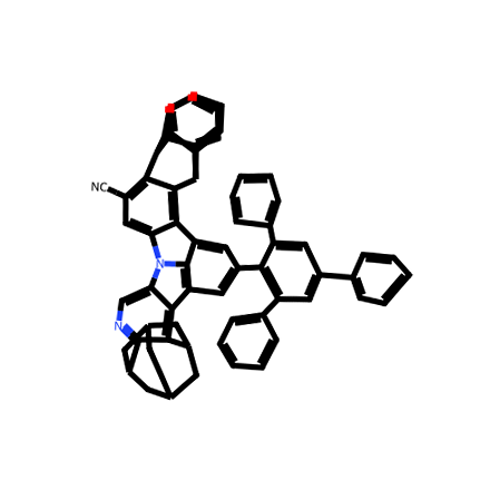 N#Cc1cc2c(c3c1C1c4ccccc4C3c3ccccc31)c1cc(-c3c(-c4ccccc4)cc(-c4ccccc4)cc3-c3ccccc3)cc3c4c5c(ncc4n2c31)C1CC2CC(C1)CC5C2